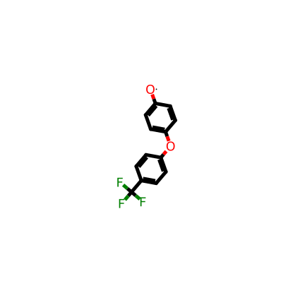 [O]c1ccc(Oc2ccc(C(F)(F)F)cc2)cc1